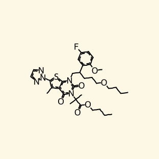 CCCCOCCCC(Cn1c(=O)n(C(C)(C)C(=O)OCCCC)c(=O)c2c(C)c(-n3nccn3)sc21)c1cc(F)ccc1OC